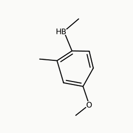 CBc1ccc(OC)cc1C